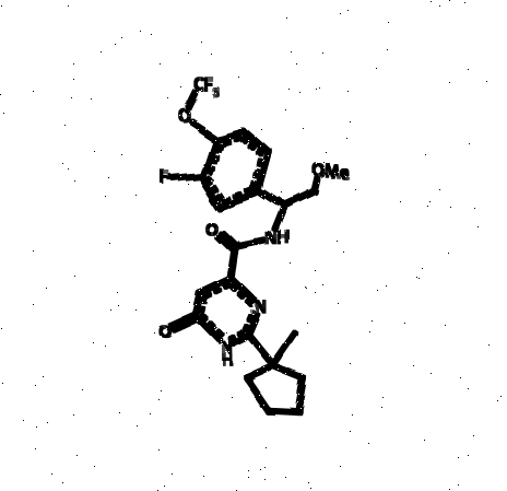 COCC(NC(=O)c1cc(=O)[nH]c(C2(C)CCCC2)n1)c1ccc(OC(F)(F)F)c(F)c1